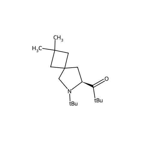 CC1(C)CC2(C[C@@H](C(=O)C(C)(C)C)N(C(C)(C)C)C2)C1